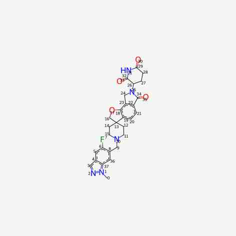 Cn1ncc2cc(F)c(CN3CCC4(CC3)COc3c4ccc4c3CN(C3CCC(=O)NC3=O)C4=O)cc21